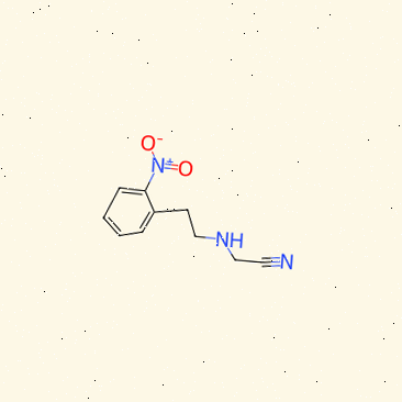 N#CCNCCc1ccccc1[N+](=O)[O-]